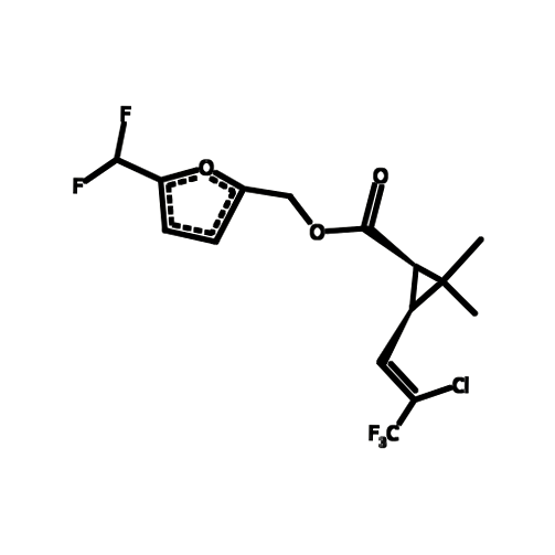 CC1(C)[C@H](C(=O)OCc2ccc(C(F)F)o2)[C@@H]1/C=C(\Cl)C(F)(F)F